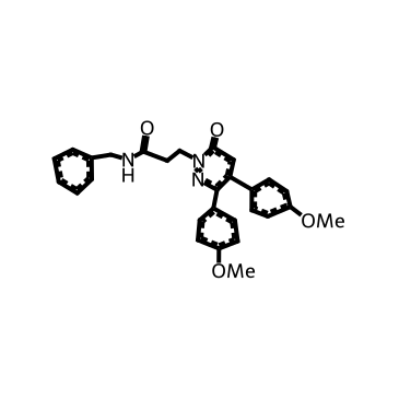 COc1ccc(-c2cc(=O)n(CCC(=O)NCc3ccccc3)nc2-c2ccc(OC)cc2)cc1